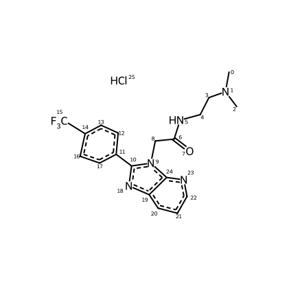 CN(C)CCNC(=O)Cn1c(-c2ccc(C(F)(F)F)cc2)nc2cccnc21.Cl